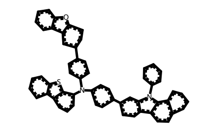 c1ccc(-n2c3cc(-c4ccc(N(c5ccc(-c6ccc7oc8ccccc8c7c6)cc5)c5cccc6c5sc5ccccc56)cc4)ccc3c3ccc4ccccc4c32)cc1